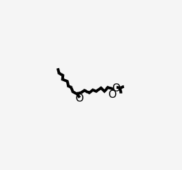 CCCCCCCCC1OC1CCCCCCCC(=O)OC(C)C